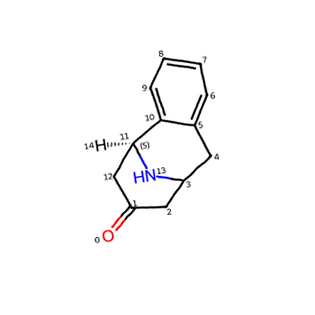 O=C1CC2Cc3ccccc3[C@H](C1)N2